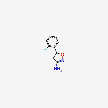 NC1=NOC(c2ccccc2F)C1